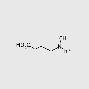 CCCN(C)CCCC(=O)O